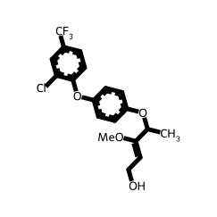 CO/C(=C\CO)C(C)Oc1ccc(Oc2ccc(C(F)(F)F)cc2Cl)cc1